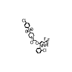 O=C(COC1=CC(C(F)(F)F)NN1c1ccccc1Cl)N1CCC(S(=O)(=O)c2ccc(Cl)cc2)CC1